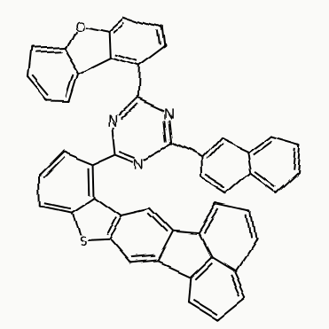 c1ccc2cc(-c3nc(-c4cccc5oc6ccccc6c45)nc(-c4cccc5sc6cc7c(cc6c45)-c4cccc5cccc-7c45)n3)ccc2c1